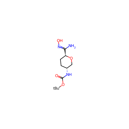 CC(C)(C)OC(=O)N[C@@H]1CC[C@@H](/C(N)=N/O)OC1